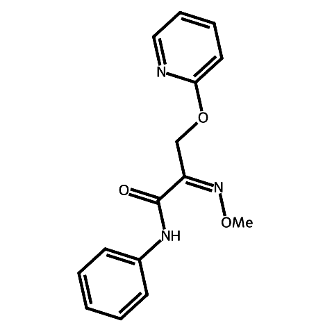 CON=C(COc1ccccn1)C(=O)Nc1ccccc1